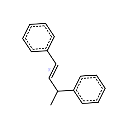 CC(/C=C/c1ccccc1)c1ccccc1